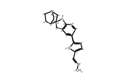 C/N=C/c1ccc(-c2cnc3c(c2)C[C@@]2(CN4CCC2CC4)O3)o1